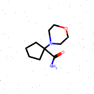 NC(=O)C1(N2CCOCC2)CCCC1